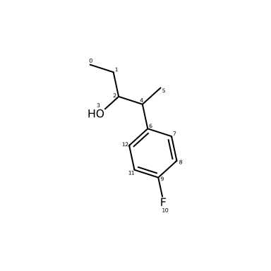 CCC(O)C(C)c1ccc(F)cc1